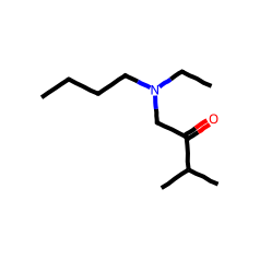 CCCCN(CC)CC(=O)C(C)C